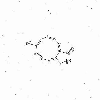 CC(C)c1ccccc2c(ccc1)CNC2=O